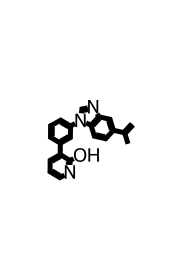 C=C(C)c1ccc2c(c1)ncn2-c1cccc(-c2cccnc2O)c1